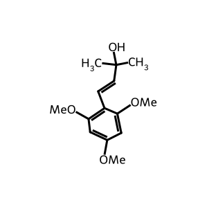 COc1cc(OC)c(/C=C/C(C)(C)O)c(OC)c1